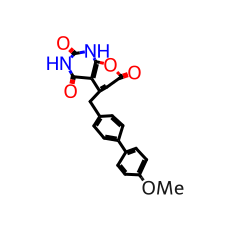 COc1ccc(-c2ccc(Cc3cc(=O)oc4[nH]c(=O)[nH]c(=O)c34)cc2)cc1